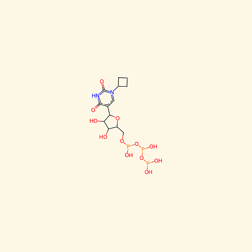 O=c1[nH]c(=O)n(C2CCC2)cc1C1OC(COP(O)OP(O)OP(O)O)C(O)C1O